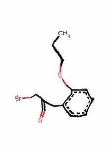 CCCOc1ccccc1C(=O)CBr